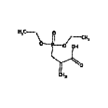 C=C(CP(=O)(OCC)OCC)C(=O)O